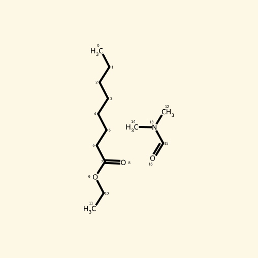 CCCCCCCC(=O)OCC.CN(C)C=O